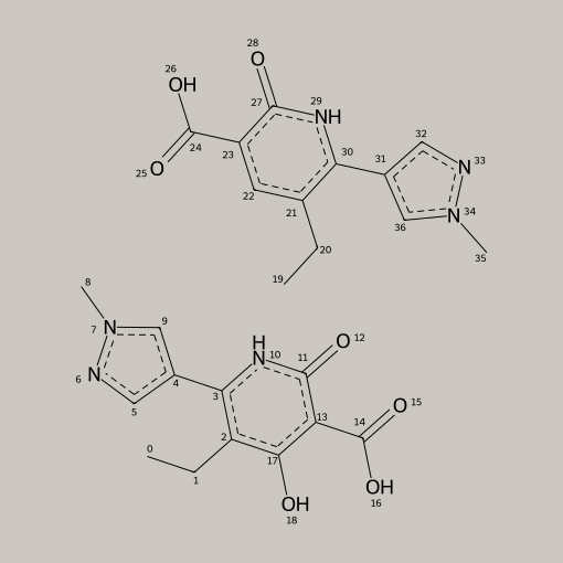 CCc1c(-c2cnn(C)c2)[nH]c(=O)c(C(=O)O)c1O.CCc1cc(C(=O)O)c(=O)[nH]c1-c1cnn(C)c1